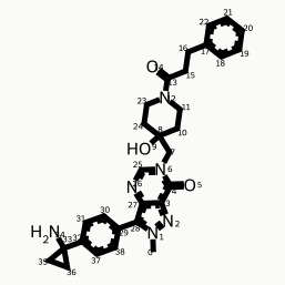 Cn1nc2c(=O)n(CC3(O)CCN(C(=O)CCc4ccccc4)CC3)cnc2c1-c1ccc(C2(N)CC2)cc1